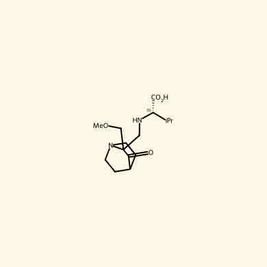 COCC1(CN[C@H](C(=O)O)C(C)C)C(=O)C2CCN1CC2